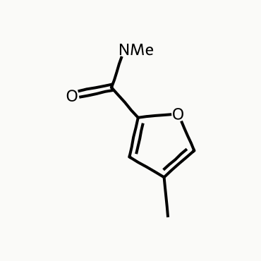 CNC(=O)c1cc(C)co1